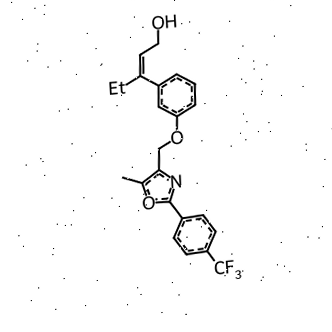 CC/C(=C/CO)c1cccc(OCc2nc(-c3ccc(C(F)(F)F)cc3)oc2C)c1